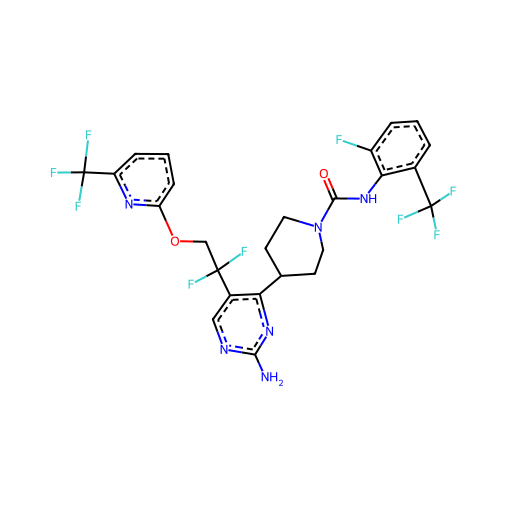 Nc1ncc(C(F)(F)COc2cccc(C(F)(F)F)n2)c(C2CCN(C(=O)Nc3c(F)cccc3C(F)(F)F)CC2)n1